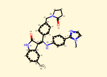 Cn1ccnc1-c1ccc(NC(=C2C(=O)Nc3ccc([N+](=O)[O-])cc32)c2ccc(CN3CCCC3=O)cc2)cc1